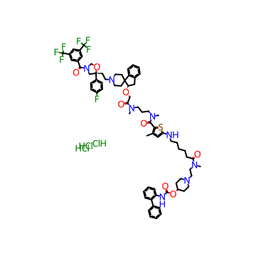 Cc1cc(NCCCCCC(=O)N(C)CCN2CCC(OC(=O)Nc3ccccc3-c3ccccc3)CC2)sc1C(=O)N(C)CCCN(C)C(=O)CO[C@H]1Cc2ccccc2C12CCN(CC[C@@]1(c3ccc(F)cc3)CN(C(=O)c3cc(C(F)(F)F)cc(C(F)(F)F)c3)CO1)CC2.Cl.Cl.Cl